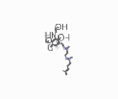 COC1=C(NCCO)[C@@H](O)[C@@H](C/C=C(\C)CC/C=C(\C)CCC=C(C)C)[C@H](C)C1=O